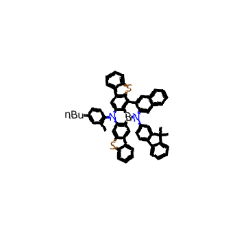 CCCCc1ccc(N2c3cc4sc5ccccc5c4cc3B3c4c2cc2c(sc5ccccc52)c4-c2cc4ccccc4cc2N3c2ccc3c(c2)C(C)(C)c2ccccc2-3)c(C)c1